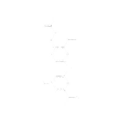 CCc1cc(Oc2cc(C)cc(C(C)N)c2)ccc1CCC(=O)O